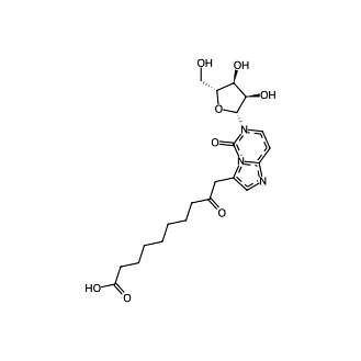 O=C(O)CCCCCCCC(=O)Cc1cnc2ccn([C@@H]3O[C@H](CO)[C@@H](O)[C@H]3O)c(=O)n12